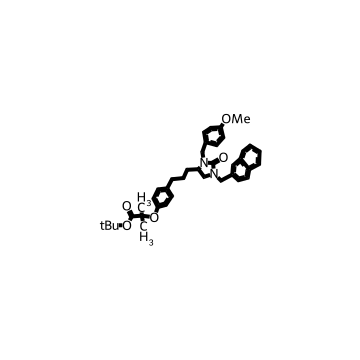 COc1ccc(CN2C(=O)N(Cc3ccc4ccccc4c3)CC2CCCc2ccc(OC(C)(C)C(=O)OC(C)(C)C)cc2)cc1